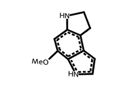 COc1cc2c(c3cc[nH]c13)CCN2